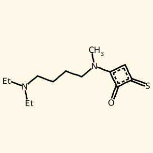 CCN(CC)CCCCN(C)c1cc(=S)c1=O